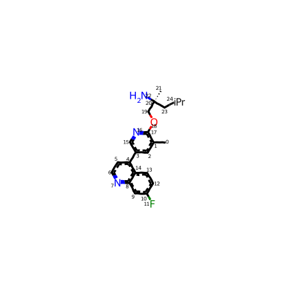 Cc1cc(-c2ccnc3cc(F)ccc23)cnc1OC[C@@](C)(N)CC(C)C